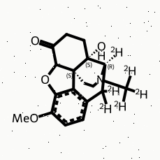 [2H]C([2H])([2H])N1CC[C@]23c4c5ccc(OC)c4OC2C(=O)CC[C@@]3(O)[C@@]1([2H])C5([2H])[2H]